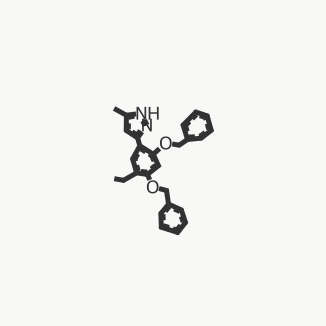 CCc1cc(-c2cc(C)[nH]n2)c(OCc2ccccc2)cc1OCc1ccccc1